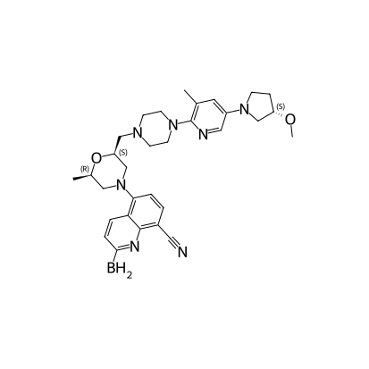 Bc1ccc2c(N3C[C@H](CN4CCN(c5ncc(N6CC[C@H](OC)C6)cc5C)CC4)O[C@H](C)C3)ccc(C#N)c2n1